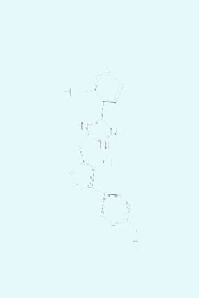 CCOc1ccc(-c2scc(Cc3nc(-c4ccccc4C)n[nH]3)c2C)cc1